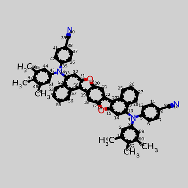 Cc1cc(N(c2ccc(C#N)cc2)c2cc3oc4cc5c(cc4c3c3ccccc23)oc2cc(N(c3ccc(C#N)cc3)c3cc(C)c(C)c(C)c3)c3ccccc3c25)cc(C)c1C